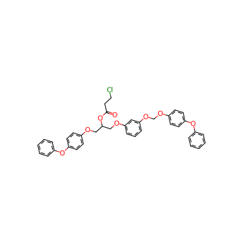 O=C(CCCl)OC(COc1ccc(Oc2ccccc2)cc1)COc1cccc(OCOc2ccc(Oc3ccccc3)cc2)c1